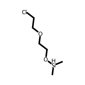 C[SiH](C)OCCOCCCl